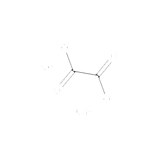 O=C([O-])C(=O)[O-].[Ca+2].[Ce]